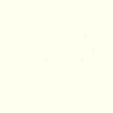 Cc1cn2c(C3CC3CN3C(=O)c4ccccc4C3=O)cccc2n1